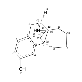 Oc1ccc2c(c1)[C@]13CCCC[C@@H]1[C@H](C2)NCC3